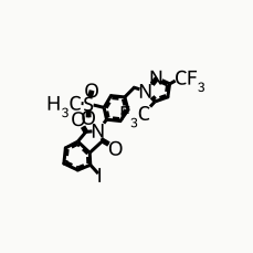 CS(=O)(=O)c1cc(Cn2nc(C(F)(F)F)cc2C(F)(F)F)ccc1N1C(=O)c2cccc(I)c2C1=O